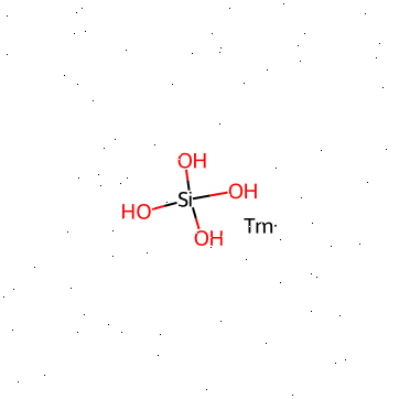 O[Si](O)(O)O.[Tm]